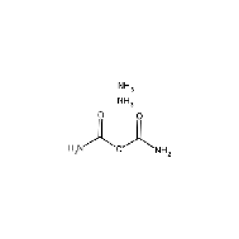 N.N.NC(=O)OC(N)=O